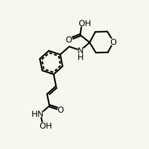 O=C(C=Cc1cccc(CNC2(C(=O)O)CCOCC2)c1)NO